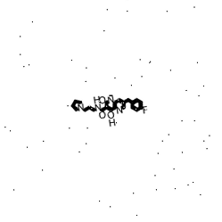 Cn1c(=O)c(C(=O)NCCCN2CCCC2)c(O)c2ncc(Cc3ccc(F)cc3)cc21